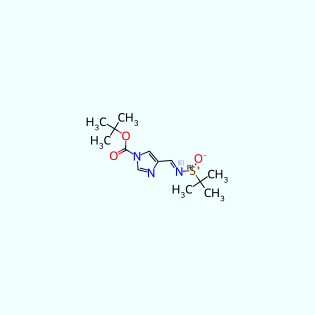 CC(C)(C)OC(=O)n1cnc(/C=N/[S@@+]([O-])C(C)(C)C)c1